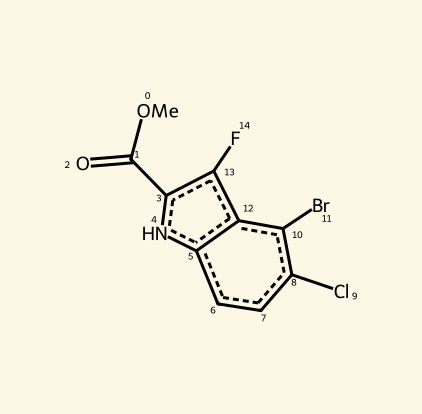 COC(=O)c1[nH]c2ccc(Cl)c(Br)c2c1F